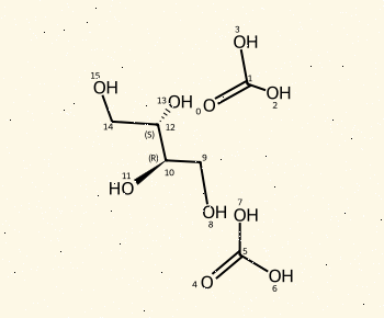 O=C(O)O.O=C(O)O.OC[C@@H](O)[C@@H](O)CO